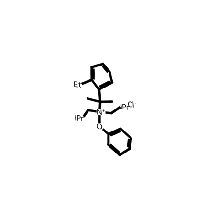 CCc1ccccc1C(C)(C)[N+](CC(C)C)(CC(C)C)Oc1ccccc1.[Cl-]